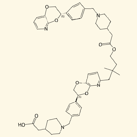 CC(C)(CCOC(=O)CC1CCN(Cc2ccc([C@H]3COc4cccnc4O3)cc2)CC1)Cc1ccc2c(n1)O[C@@H](c1ccc(CN3CCC(CC(=O)O)CC3)cc1)CO2